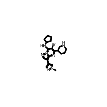 Cn1cc(-c2cnn3c(NC4CCCC4)c(Br)c(C4CCCNC4)nc23)cn1